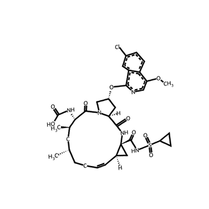 COc1cnc(O[C@@H]2C[C@H]3C(=O)N[C@]4(C(=O)NS(=O)(=O)C5CC5)C[C@H]4/C=C\CC[C@H](C)C[C@@H](C)[C@H](NC(=O)O)C(=O)N3C2)c2cc(Cl)ccc12